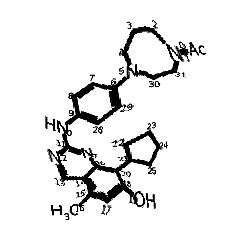 CC(=O)N1CCCN(c2ccc(Nc3ncc4c(C)cc(O)c(C5CCCC5)c4n3)cc2)CC1